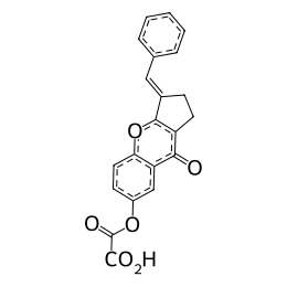 O=C(O)C(=O)Oc1ccc2oc3c(c(=O)c2c1)CCC3=Cc1ccccc1